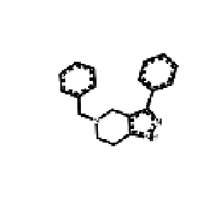 c1ccc(CN2CCc3[nH]nc(-c4ccccc4)c3C2)cc1